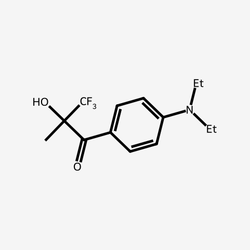 CCN(CC)c1ccc(C(=O)C(C)(O)C(F)(F)F)cc1